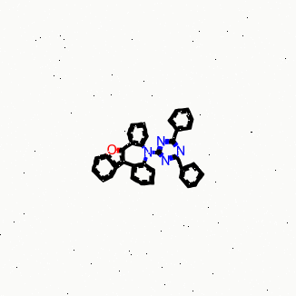 c1ccc(-c2nc(-c3ccccc3)nc(N3c4ccccc4-c4oc5ccccc5c4-c4ccccc43)n2)cc1